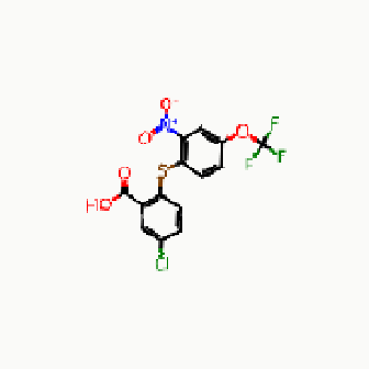 O=C(O)c1cc(Cl)ccc1Sc1ccc(OC(F)(F)F)cc1[N+](=O)[O-]